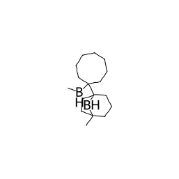 CBC1(C23BC(C)(CCC2)CC3)CCCCCCC1